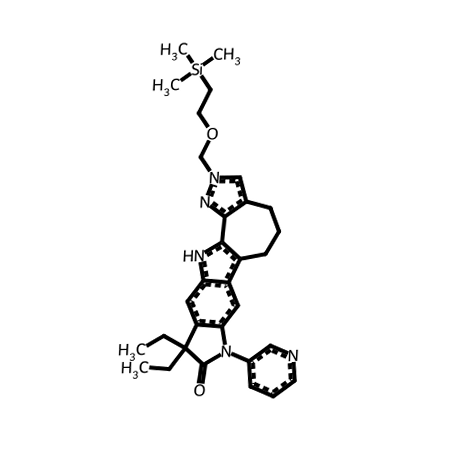 CCC1(CC)C(=O)N(c2cccnc2)c2cc3c4c([nH]c3cc21)-c1nn(COCC[Si](C)(C)C)cc1CCC4